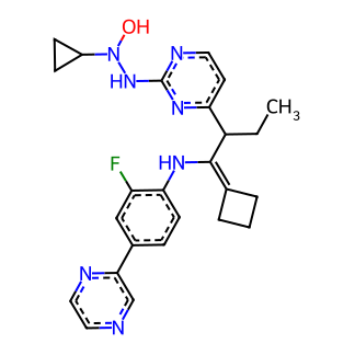 CCC(C(Nc1ccc(-c2cnccn2)cc1F)=C1CCC1)c1ccnc(NN(O)C2CC2)n1